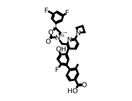 Cc1cc(C(=O)O)ccc1-c1cc(-c2ccc(N3CCC3)nc2CN2C(=O)O[C@H](c3cc(F)cc(F)c3)[C@@H]2C)c(O)cc1F